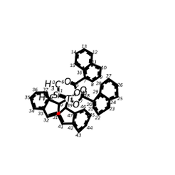 C[Si](C)=[Ti]([O]C(=O)c1cccc2ccccc12)([O]C(=O)c1cccc2ccccc12)([CH]1C=Cc2ccccc21)[CH]1C=Cc2ccccc21